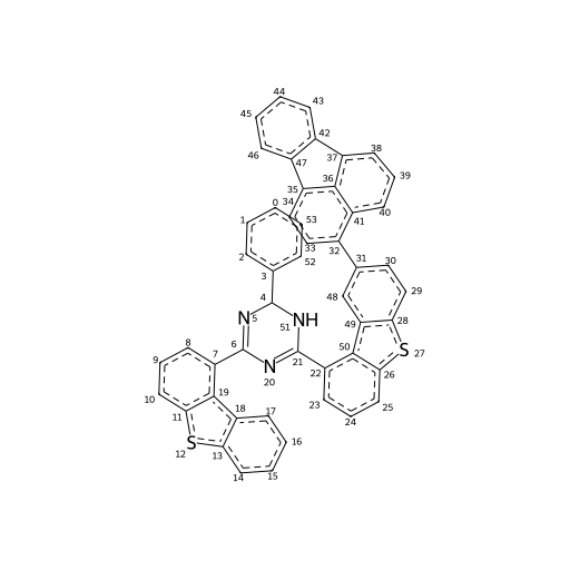 c1ccc(C2N=C(c3cccc4sc5ccccc5c34)N=C(c3cccc4sc5ccc(-c6ccc7c8c(cccc68)-c6ccccc6-7)cc5c34)N2)cc1